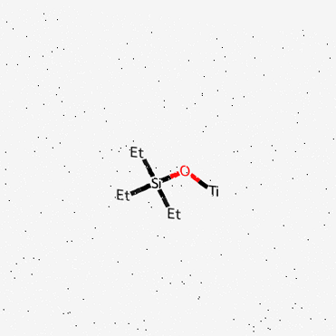 CC[Si](CC)(CC)[O][Ti]